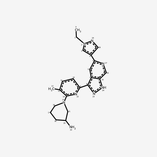 CCn1cc(-c2cc3c(-c4ccc(C)c(N5CCCC(N)C5)n4)n[nH]c3cn2)cn1